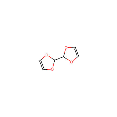 [C]1=COC(C2OC=CO2)O1